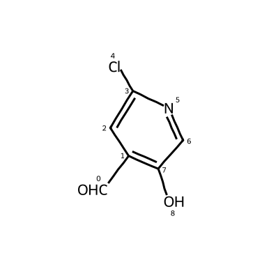 O=Cc1cc(Cl)ncc1O